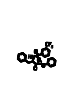 O=C(OOc1ccccc1)C(Cc1ccccc1)NS(=O)(=O)c1cccc(C(F)(F)F)c1